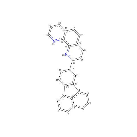 c1cc2c3c(cccc3c1)-c1cc(-c3ccc4ccc5cccnc5c4n3)ccc1-2